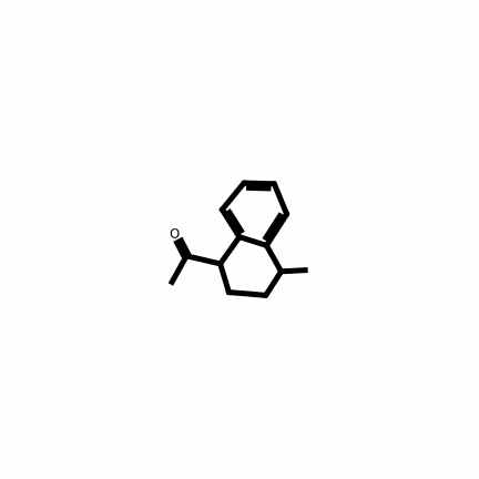 CC(=O)C1CCC(C)c2ccccc21